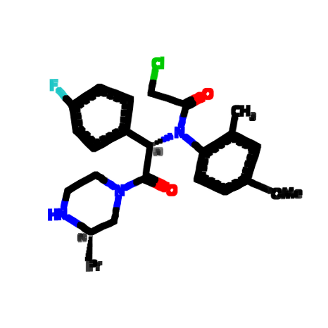 COc1ccc(N(C(=O)CCl)[C@H](C(=O)N2CCN[C@@H](C(C)C)C2)c2ccc(F)cc2)c(C)c1